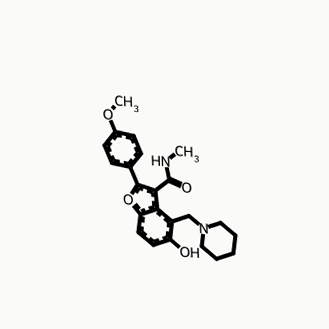 CNC(=O)c1c(-c2ccc(OC)cc2)oc2ccc(O)c(CN3CCCCC3)c12